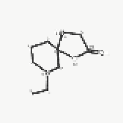 CCN1CCCC2(C1)NCC(=O)O2